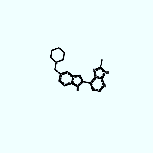 Cc1nc2c(-c3cc4cc(CN5CCCCC5)ccc4[nH]3)ccnc2[nH]1